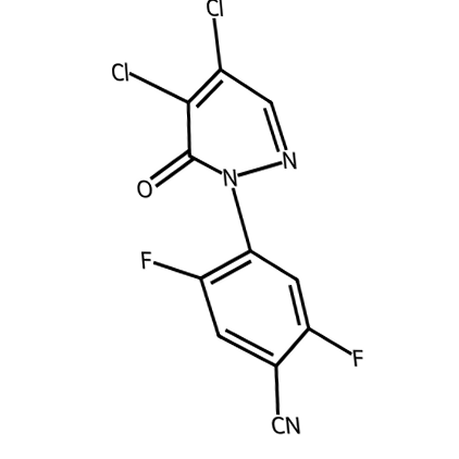 N#Cc1cc(F)c(-n2ncc(Cl)c(Cl)c2=O)cc1F